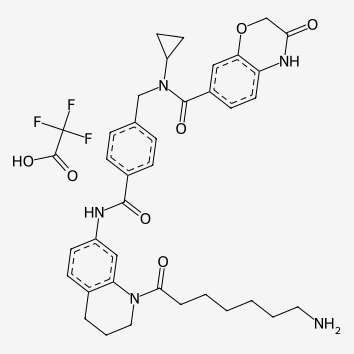 NCCCCCCC(=O)N1CCCc2ccc(NC(=O)c3ccc(CN(C(=O)c4ccc5c(c4)OCC(=O)N5)C4CC4)cc3)cc21.O=C(O)C(F)(F)F